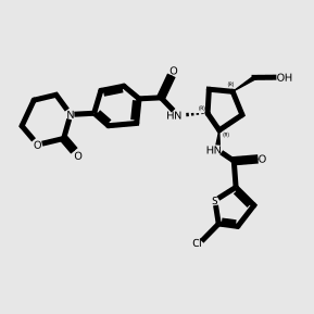 O=C(N[C@@H]1C[C@@H](CO)C[C@H]1NC(=O)c1ccc(Cl)s1)c1ccc(N2CCCOC2=O)cc1